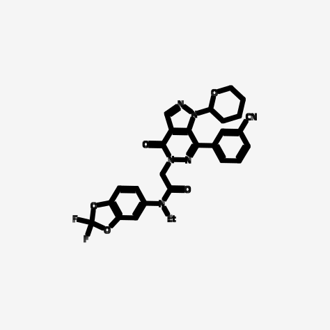 CCN(C(=O)Cn1nc(-c2cccc(C#N)c2)c2c(cnn2C2CCCCO2)c1=O)c1ccc2c(c1)OC(F)(F)O2